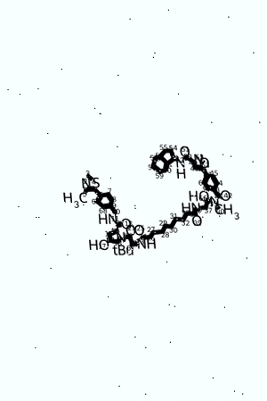 Cc1ncsc1-c1ccc(CNC(=O)[C@@H]2C[C@@H](O)CN2C(=O)[C@@H](NC(=O)CCCCCCCCC(=O)NCCN(C)C(=O)c2ccc(-c3cc(C(=O)N[C@@H]4CCc5ccccc54)no3)cc2O)C(C)(C)C)cc1